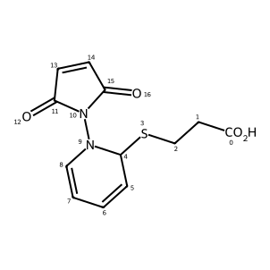 O=C(O)CCSC1C=CC=CN1N1C(=O)C=CC1=O